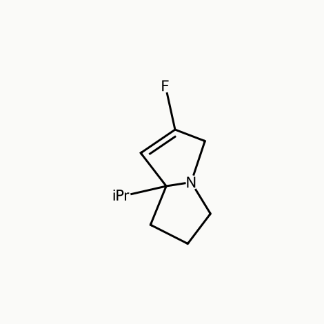 CC(C)C12C=C(F)CN1CCC2